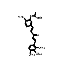 CCOC(C)Oc1cc(C=CC(=O)C=Cc2ccc(OC)c(OC)c2OC)ccc1OC